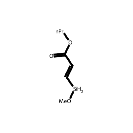 CCCOC(=O)C=C[SiH2]OC